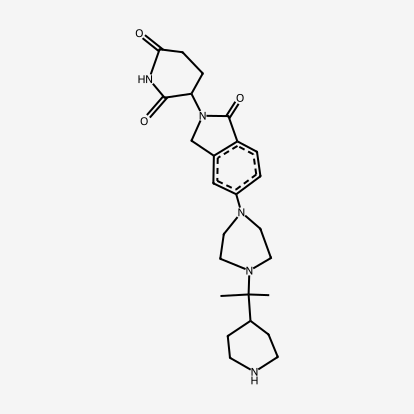 CC(C)(C1CCNCC1)N1CCN(c2ccc3c(c2)CN(C2CCC(=O)NC2=O)C3=O)CC1